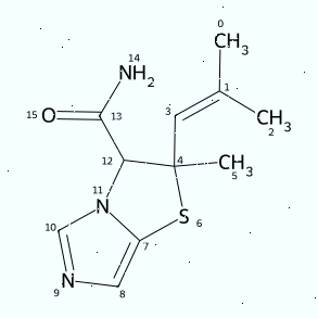 CC(C)=CC1(C)Sc2cncn2C1C(N)=O